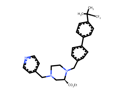 CCOC(=O)[C@H]1CN(Cc2ccncc2)CCN1Cc1ccc(-c2ccc(C(C)(C)C(F)(F)F)cc2)cc1